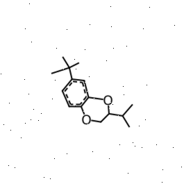 CC(C)C1COc2ccc(C(C)(C)C)cc2O1